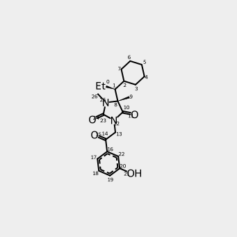 CC[C@@H](C1CCCCC1)[C@]1(C)C(=O)N(CC(=O)c2cccc(O)c2)C(=O)N1C